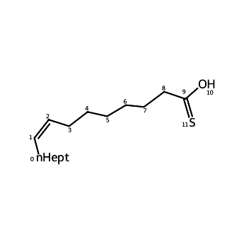 CCCCCCC/C=C\CCCCCCC(O)=S